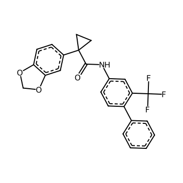 O=C(Nc1ccc(-c2ccccc2)c(C(F)(F)F)c1)C1(c2ccc3c(c2)OCO3)CC1